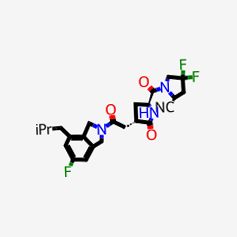 CC(C)Cc1cc(F)cc2c1CN(C(=O)C[C@@H]1C[C@@H](C(=O)N3CC(F)(F)C[C@H]3C#N)NC1=O)C2